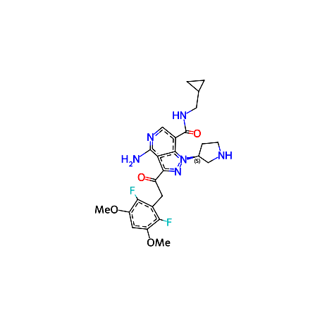 COc1cc(OC)c(F)c(CC(=O)c2nn([C@H]3CCNC3)c3c(C(=O)NCC4CC4)cnc(N)c23)c1F